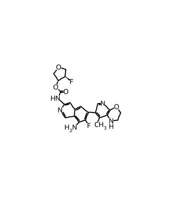 Cc1c(-c2cc3cc(NC(=O)O[C@H]4COC[C@H]4F)ncc3c(N)c2F)cnc2c1NCCO2